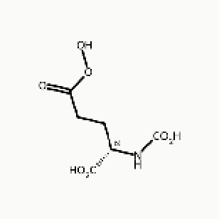 O=C(O)N[C@@H](CCC(=O)OO)C(=O)O